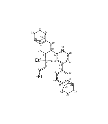 CCC=CC(C)(CC)C1CC2=C(C=C1c1cc(-c3ccc4c(c3)C3CCC4CC3)ccn1)C1CCC2CC1